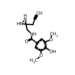 C#CCC1(CNC(=O)c2cc(OC)c(O)c(OC)c2)NN1